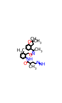 C/C(=N/OCc1c(C)cccc1NC(=O)C(C)CCN=N)c1cccc2c1CC(C)(C)O2